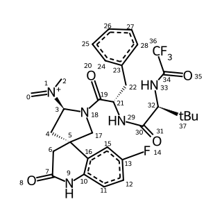 C=[N+](C)[C@@H]1C[C@]2(CC(=O)Nc3ccc(F)cc32)CN1C(=O)[C@H](Cc1ccccc1)NC(=O)[C@@H](NC(=O)C(F)(F)F)C(C)(C)C